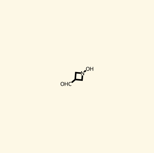 O=CC1CN(O)C1